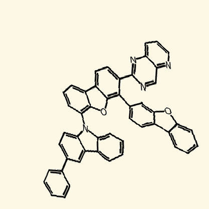 c1ccc(-c2ccc3c(c2)c2ccccc2n3-c2cccc3c2oc2c(-c4ccc5c(c4)oc4ccccc45)c(-c4ncc5ncccc5n4)ccc23)cc1